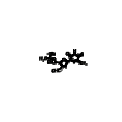 Cc1cn([C@H]2C[C@H](C=O)[C@@H](CO[Si](C)(C)C(C)(C)C)O2)c(=O)[nH]c1=O